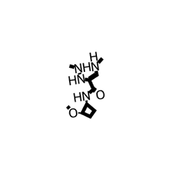 CN/C=C(\NNC)C(=O)N[C@H]1CC[C@@H]1OC